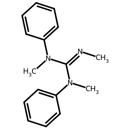 CN=C(N(C)c1ccccc1)N(C)c1ccccc1